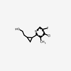 Cc1c(C2CC2CCO)ncc(F)c1Cl